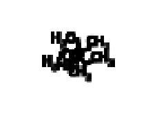 C=Cc1c(C=C)c(/C=C\C)n(BC)c1/C=C\C